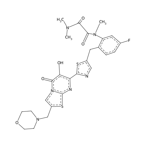 CN(C)C(=O)C(=O)N(C)c1cc(F)ccc1Cc1cnc(-c2nc3sc(CN4CCOCC4)cn3c(=O)c2O)s1